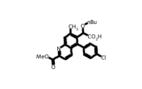 CCCCOC(C(=O)O)c1c(C)cc2nc(C(=O)OC)ccc2c1-c1ccc(Cl)cc1